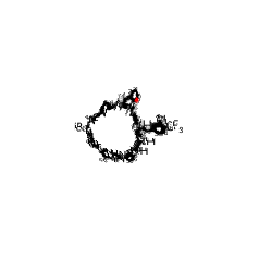 CC[C@H](C)[C@H]1CN(C)CCN2CCCC2=CN(C)C(CC2CCCCC2)=CN(C)C=CN[C@@H](CCc2ccc(C(F)(F)F)c(Cl)c2)CCNCCNCC2(CCCC2)NC(C)[C@H](C(C)C)N2C[C@H](C)CC2CN(C)[C@@H](C)CN1